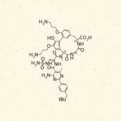 Cc1nc(-c2ccc(CC(C)(C)C)cc2)nc(N)c1C(=O)N[C@@H](CNS(N)(=O)=O)C(=O)N(C)[C@@H]1C(=O)N[C@@H](C)C(=O)N[C@H](C(=O)O)Cc2ccc(OCCCN)c(c2)-c2cc1cc(OCCCN)c2O